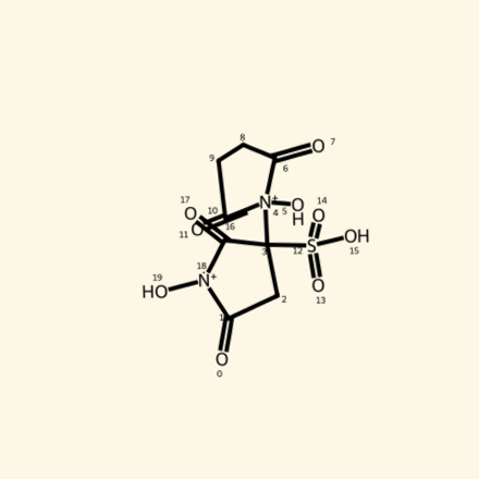 O=C1CC([N+]2(O)C(=O)CCC2=O)(S(=O)(=O)O)C(=O)[N+]1O